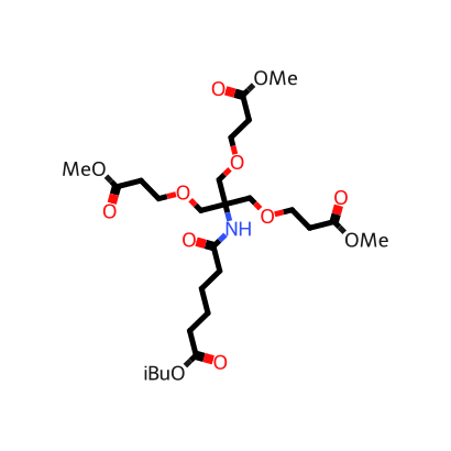 COC(=O)CCOCC(COCCC(=O)OC)(COCCC(=O)OC)NC(=O)CCCCC(=O)OCC(C)C